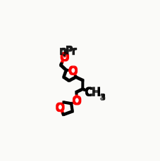 CCCOCC1CCC(CC(C)CO[C@@H]2CCOC2)O1